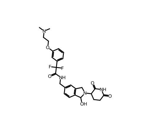 CN(C)CCOc1cccc(C(F)(F)C(=O)NCc2ccc3c(c2)CN(C2CCC(=O)NC2=O)C3O)c1